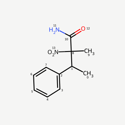 CC(c1ccccc1)C(C)(C(N)=O)[N+](=O)[O-]